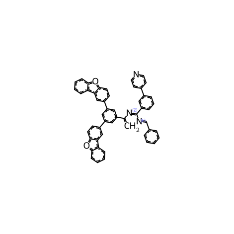 C=C(/N=C(\N=C\c1ccccc1)c1cccc(-c2ccncc2)c1)c1cc(-c2ccc3oc4ccccc4c3c2)cc(-c2ccc3oc4ccccc4c3c2)c1